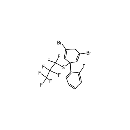 Fc1ccccc1C1(SC(F)(F)C(F)(F)C(F)(F)F)C=C(Br)[CH]C(Br)=C1